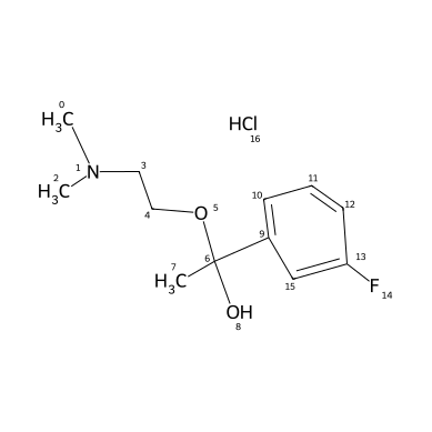 CN(C)CCOC(C)(O)c1cccc(F)c1.Cl